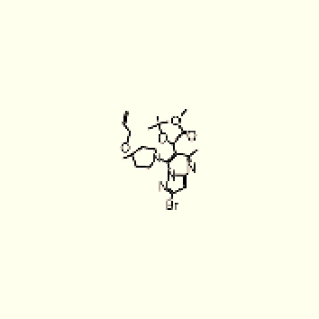 C=CCOC1(C)CCN(c2c(C(OC(C)(C)C)C(=O)OC)c(C)nc3cc(Br)nn23)CC1